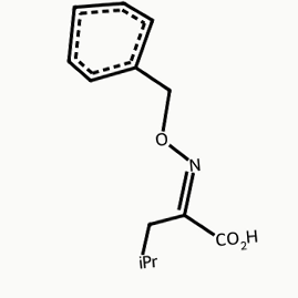 CC(C)CC(=NOCc1ccccc1)C(=O)O